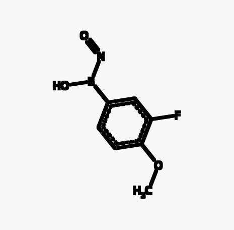 COc1ccc(B(O)N=O)cc1F